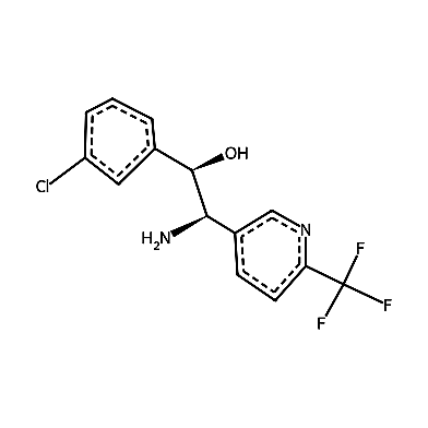 N[C@H](c1ccc(C(F)(F)F)nc1)[C@H](O)c1cccc(Cl)c1